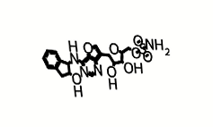 NS(=O)(=O)OCC1OC(c2coc3c(NC4c5ccccc5CC4O)ncnc23)C(O)C1O